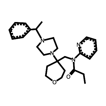 CCC(=O)N(CC1(N2CCN(C(C)c3ccccc3)CC2)CCOCC1)c1ccccn1